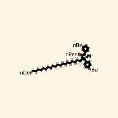 CCCCCCCCCCCCCCCCCCCCCCCCCCCCCCC1=C(c2ccc(CCCC)cc2)[N+](=[N-])C(c2cccc(CCCC)c2)=C1CCCCC